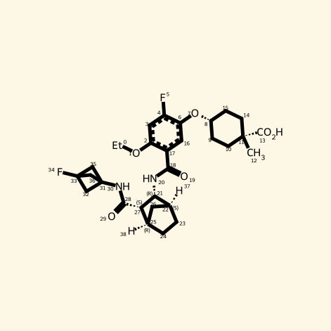 CCOc1cc(F)c(O[C@H]2CC[C@@](C)(C(=O)O)CC2)cc1C(=O)N[C@@H]1[C@H]2CC[C@H](C2)[C@@H]1C(=O)NC12CC(F)(C1)C2